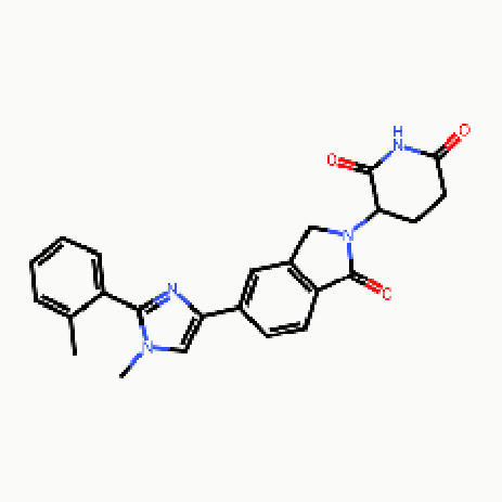 Cc1ccccc1-c1nc(-c2ccc3c(c2)CN(C2CCC(=O)NC2=O)C3=O)cn1C